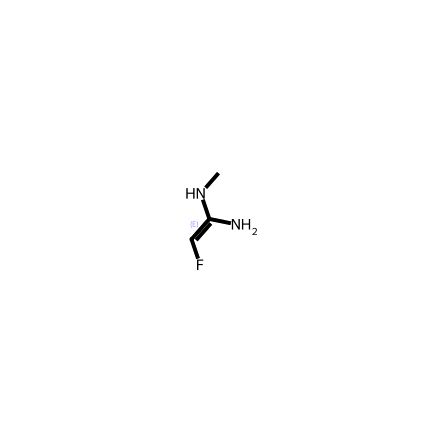 CN/C(N)=C/F